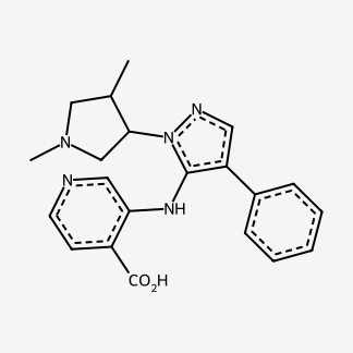 CC1CN(C)CC1n1ncc(-c2ccccc2)c1Nc1cnccc1C(=O)O